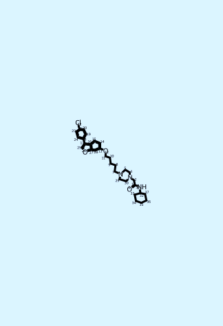 O=C(CN1CCN(CCCCCOc2ccc3c(-c4ccc(Cl)cc4)coc3c2)CC1)NC1CCCCC1